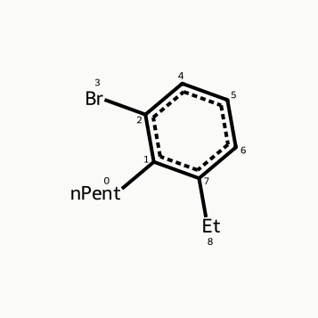 C[CH]CCCc1c(Br)cccc1CC